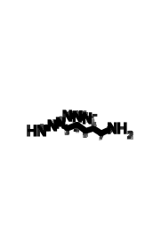 N=[N+]=NCCCCCN.[N-]=[N+]=[N-]